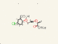 C=C(OC#CCOc1ccc(Cl)cc1C(=O)O)C(=O)OC